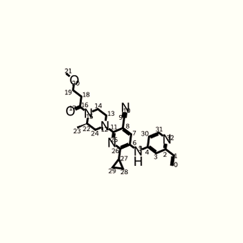 C=Cc1cc(Nc2cc(C#N)c(N3CCN(C(=O)CCOC)[C@H](C)C3)nc2C2CC2)ccn1